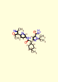 Cc1noc(C)c1-c1ccc(NC(=O)[C@H](c2cc(C(N)=O)n(C(C)C)n2)C2CCC(C)CC2)cn1